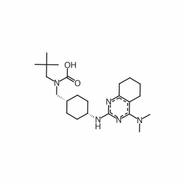 CN(C)c1nc(N[C@H]2CC[C@@H](CN(CC(C)(C)C)C(=O)O)CC2)nc2c1CCCC2